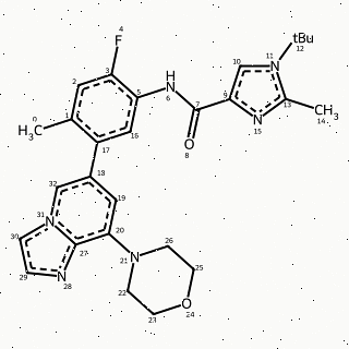 Cc1cc(F)c(NC(=O)c2cn(C(C)(C)C)c(C)n2)cc1-c1cc(N2CCOCC2)c2nccn2c1